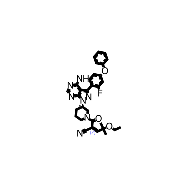 CCOC(C)(C)/C=C(/C#N)C(=O)N1CCC[C@H](n2nc(-c3ccc(Oc4ccccc4)cc3F)c3c(N)ncnc32)C1